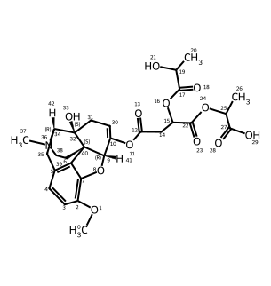 COc1ccc2c3c1O[C@H]1C(OC(=O)CC(OC(=O)C(C)O)C(=O)OC(C)C(=O)O)=CC[C@@]4(O)[C@@H](C2)N(C)CC[C@]314